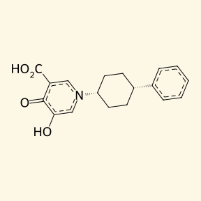 O=C(O)c1cn([C@H]2CC[C@@H](c3ccccc3)CC2)cc(O)c1=O